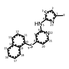 Cc1csc(Nc2cc(Sc3cccc4ccccc34)ccn2)n1